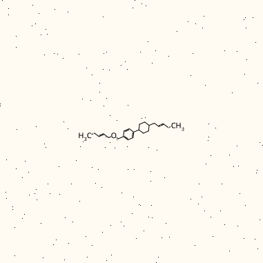 CCC=CCOCc1ccc(C2CCC(C/C=C/CC)CC2)cc1